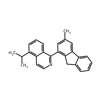 Cc1cc2c(c(-c3nccc4c(C(C)C)cccc34)c1)Cc1ccccc1-2